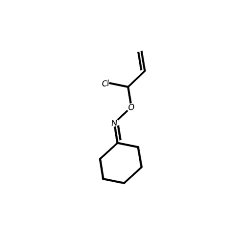 C=CC(Cl)ON=C1CCCCC1